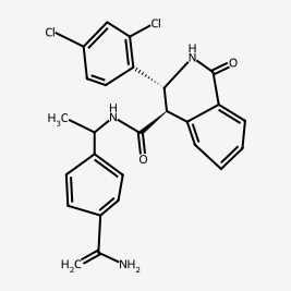 C=C(N)c1ccc(C(C)NC(=O)[C@@H]2c3ccccc3C(=O)N[C@H]2c2ccc(Cl)cc2Cl)cc1